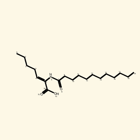 CCCCC=C(NC(=O)CCCCCCCCCCC)C(=O)O